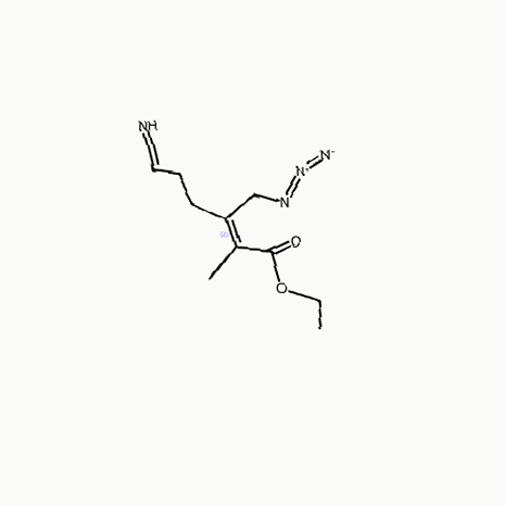 CCOC(=O)/C(C)=C(/CCC=N)CN=[N+]=[N-]